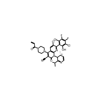 C=CC(=O)N1CCN(c2c(C#N)c(=O)n(C3C(C(C)C)=NC=C[C@H]3C)c3nc(-c4c(O)c(Cl)c(F)c(F)c4Cl)c(Cl)cc23)CC1